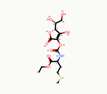 CCOC(=O)C(CCSC)NC(=O)OC1=C(O)[C@@H]([C@@H](O)CO)OC1=O